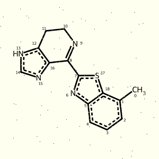 Cc1cccc2nc(C3=NCCc4[nH]cnc43)sc12